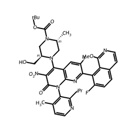 COc1nccc2ccc(F)c(-c3nc4c(cc3F)c(N3C[C@@H](C)N(C(=O)OC(C)(C)C)C[C@@H]3CO)c([N+](=O)[O-])c(=O)n4-c3c(C)ccnc3C(C)C)c12